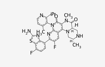 Cc1ccnc(C(C)C)c1-n1c(=O)c2c(c3cc(F)c(-c4ccc(F)c5sc(N)nc45)nc31)N1C[C@@H](C)NC[C@@H]1C(=O)N2C